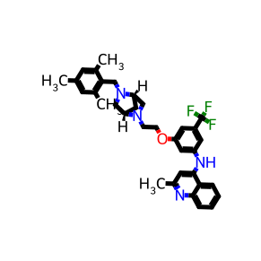 Cc1cc(C)c(CN2C[C@@H]3C[C@H]2CN3CCOc2cc(Nc3cc(C)nc4ccccc34)cc(C(F)(F)F)c2)c(C)c1